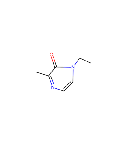 CCn1ccnc(C)c1=O